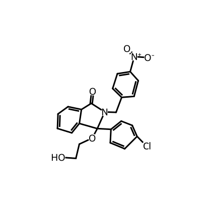 O=C1c2ccccc2C(OCCO)(c2ccc(Cl)cc2)N1Cc1ccc([N+](=O)[O-])cc1